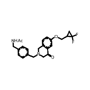 CC(=O)NCc1ccc(CN2CC(=O)c3cc(OCC4CC4(F)F)ccc3C2)cc1